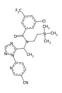 CC(c1ncnn1-c1ccc(C#N)cn1)N(CC[Si](C)(C)C)C(=O)c1cc(Cl)cc(C(F)(F)F)c1